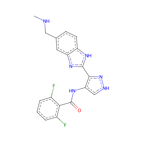 CNCc1ccc2[nH]c(-c3n[nH]cc3NC(=O)c3c(F)cccc3F)nc2c1